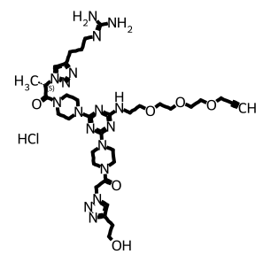 C#CCOCCOCCOCCNc1nc(N2CCN(C(=O)Cn3cc(CCO)nn3)CC2)nc(N2CCN(C(=O)[C@H](C)n3cc(CCCN=C(N)N)nn3)CC2)n1.Cl